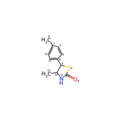 Cc1ccc(C2SC(=O)NC2C)cc1